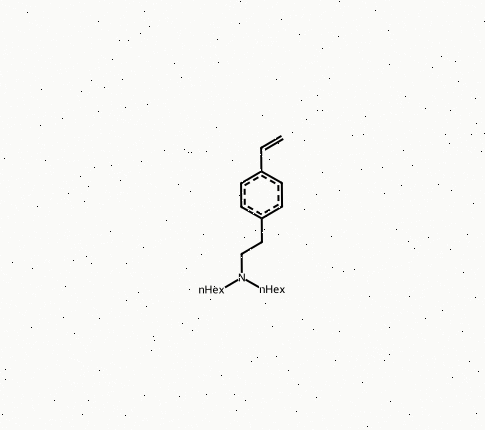 C=Cc1ccc(CCN(CCCCCC)CCCCCC)cc1